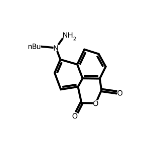 CCCCN(N)c1ccc2c3c(cccc13)C(=O)OC2=O